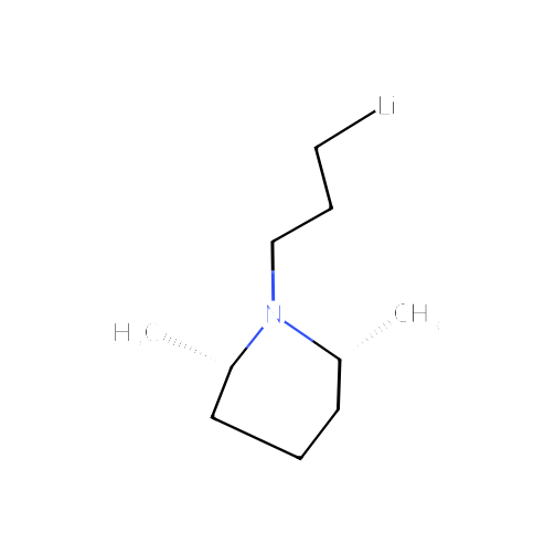 [Li][CH2]CCN1[C@H](C)CCC[C@@H]1C